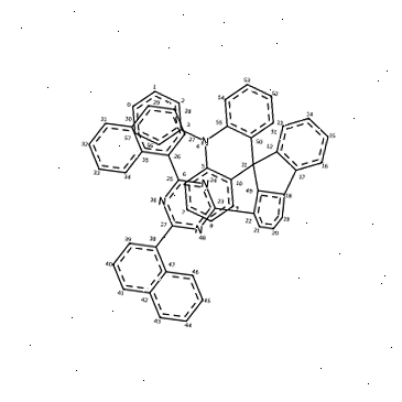 c1ccc(N2c3ccccc3C3(c4ccccc4-c4cccc(-c5nc(-c6cccc7ccccc67)nc(-c6cccc7ccccc67)n5)c43)c3ccccc32)cc1